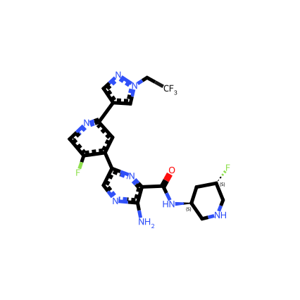 Nc1ncc(-c2cc(-c3cnn(CC(F)(F)F)c3)ncc2F)nc1C(=O)N[C@@H]1CNC[C@@H](F)C1